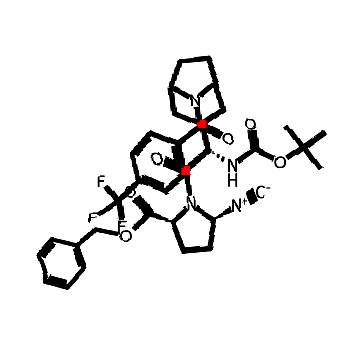 [C-]#[N+][C@H]1CC[C@@H](C(=O)OCc2ccccc2)N1C(=O)[C@@H](NC(=O)OC(C)(C)C)C1CC2CCC(C1)N2C(=O)c1ccc(C(F)(F)F)cc1